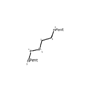 CCCCCCC[P][P]CCCCC